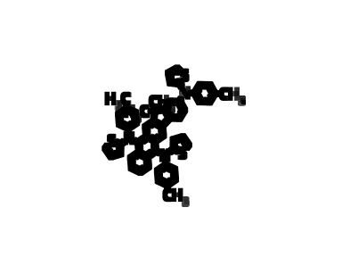 Cc1ccc(N(c2ccc3c(c2)C(C)(C)c2cc4c(N(c5ccc(C)cc5)c5cccs5)c5ccccc5c(N(c5ccc(C)cc5)c5cccs5)c4cc2-3)c2cccs2)cc1